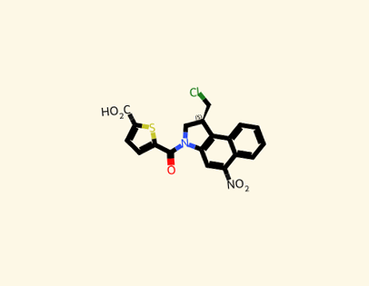 O=C(O)c1ccc(C(=O)N2C[C@@H](CCl)c3c2cc([N+](=O)[O-])c2ccccc32)s1